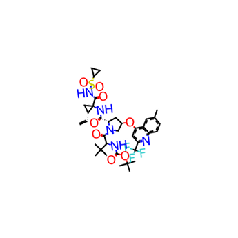 C=C[C@@H]1C[C@]1(NC(=O)[C@@H]1C[C@@H](Oc2cc(C(F)(F)F)nc3ccc(C)cc23)CN1C(=O)[C@@H](NC(=O)OC(C)(C)C)C(C)(C)C)C(=O)NS(=O)(=O)C1CC1